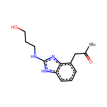 CC(C)(C)C(=O)Cc1cccc2[nH]c(NCCCO)nc12